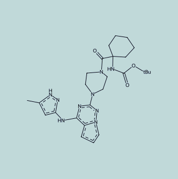 Cc1cc(Nc2nc(N3CCN(C(=O)C4(NC(=O)OC(C)(C)C)CCCCC4)CC3)nn3cccc23)n[nH]1